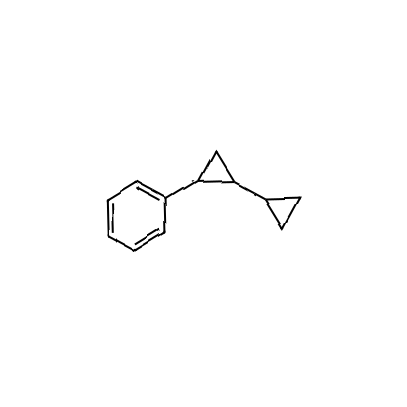 c1ccc([C]2CC2C2CC2)cc1